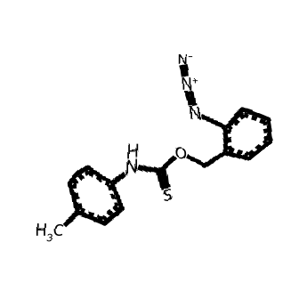 Cc1ccc(NC(=S)OCc2ccccc2N=[N+]=[N-])cc1